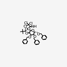 CC(C)(C)C(=O)O[C@H]1[C@H](OC(=N)C(Cl)(Cl)Cl)O[C@H](COCc2ccccc2)[C@@H](OCc2ccccc2)[C@@H]1OCc1ccccc1